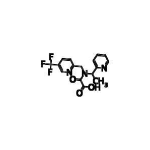 CC(c1ccccn1)N(Cc1ccc(C(F)(F)F)cn1)C(=O)C(=O)O